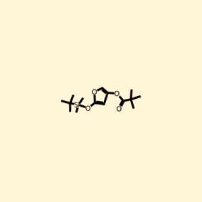 CC(C)(C)C(=O)Oc1coc(O[Si](C)(C)C(C)(C)C)c1